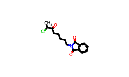 CC(Cl)C(=O)CCCCCN1C(=O)c2ccccc2C1=O